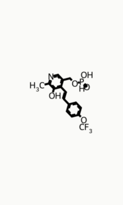 Cc1ncc(CO[PH](=O)O)c(C=Cc2ccc(OC(F)(F)F)cc2)c1O